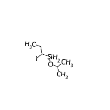 CCC(I)[SiH2]OC(C)C